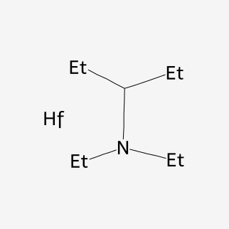 CCC(CC)N(CC)CC.[Hf]